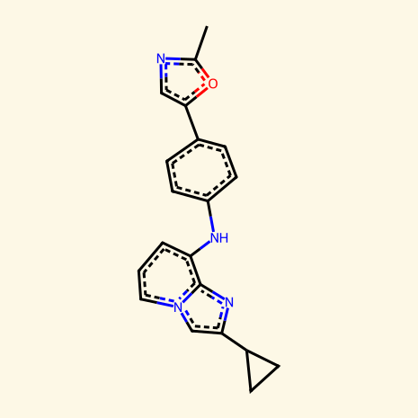 Cc1ncc(-c2ccc(Nc3cccn4cc(C5CC5)nc34)cc2)o1